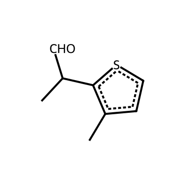 Cc1ccsc1C(C)C=O